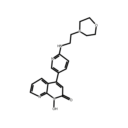 O=c1cc(-c2ccc(NCCN3CCOCC3)nc2)c2cccnc2n1O